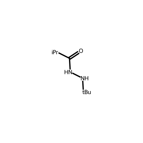 CC(C)C(=O)NNC(C)(C)C